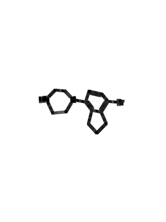 Brc1ccc(N2CCNCC2)c2c1CCC2